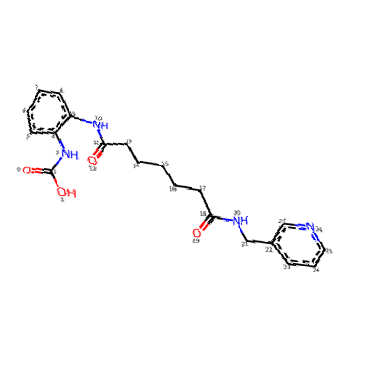 O=C(O)Nc1ccccc1NC(=O)CCCCCC(=O)NCc1cccnc1